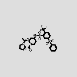 CC(=O)N1CCC[C@H]1C(=O)N1CCC(NS(=O)(=O)c2cc(S(=O)(=O)c3ccccc3)ccc2C(F)(F)F)CC1